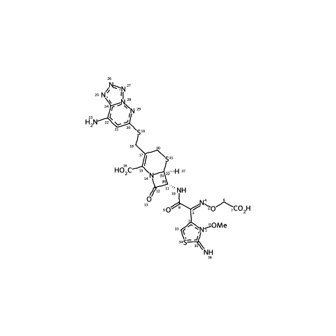 COn1c(C(=NOCC(=O)O)C(=O)N[C@@H]2C(=O)N3C(C(=O)O)=C(CSc4cc(N)c5nnnn5n4)CS[C@@H]23)csc1=N